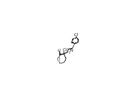 O=C(O)C1(CC=Cc2ccc(Cl)cc2)CCCOC1=O